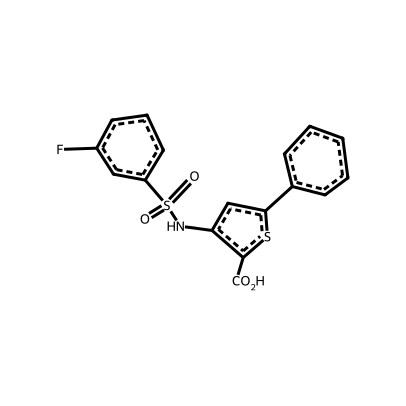 O=C(O)c1sc(-c2ccccc2)cc1NS(=O)(=O)c1cccc(F)c1